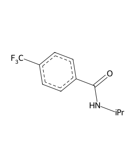 CC(C)NC(=O)c1ccc(C(F)(F)F)cc1